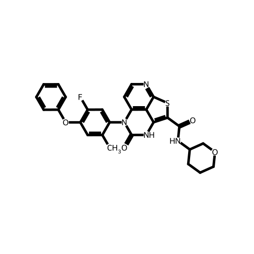 Cc1cc(Oc2ccccc2)c(F)cc1N1C(=O)Nc2c(C(=O)NC3CCCOC3)sc3nccc1c23